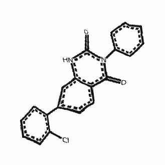 O=c1[nH]c2cc(-c3ccccc3Cl)ccc2c(=O)n1-c1ccccc1